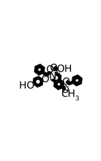 COc1ccc2c(c1OCc1ccccc1)C[C@@H](C(=O)O)N(C(=O)[C@@H](OC1CCC(O)CC1)c1ccccc1)C2